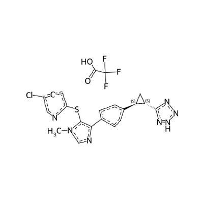 Cn1cnc(-c2ccc([C@H]3C[C@@H]3c3nn[nH]n3)cc2)c1Sc1ccc(Cl)cn1.O=C(O)C(F)(F)F